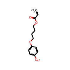 C=CC(=O)OCCCCOc1ccc(O)cc1